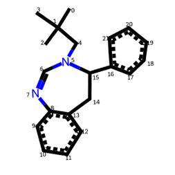 CC(C)(C)CN1C=Nc2ccccc2CC1c1ccccc1